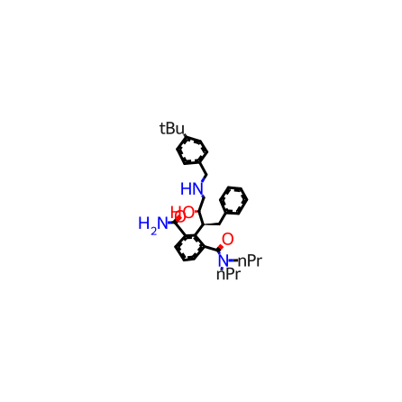 CCCN(CCC)C(=O)c1cccc(C(N)=O)c1[C@H](Cc1ccccc1)[C@@H](O)CNCc1ccc(C(C)(C)C)cc1